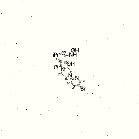 CC(C)C[C@H](C(=O)N1CCN(c2ccc(Br)cn2)CC1)[C@H](O)C(=O)NO